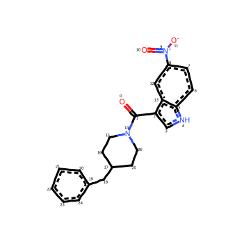 O=C(c1c[nH]c2ccc([N+](=O)[O-])cc12)N1CCC(Cc2ccccc2)CC1